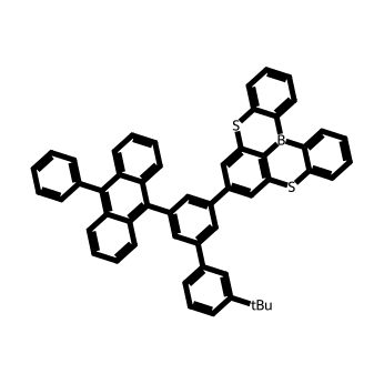 CC(C)(C)c1cccc(-c2cc(-c3cc4c5c(c3)Sc3ccccc3B5c3ccccc3S4)cc(-c3c4ccccc4c(-c4ccccc4)c4ccccc34)c2)c1